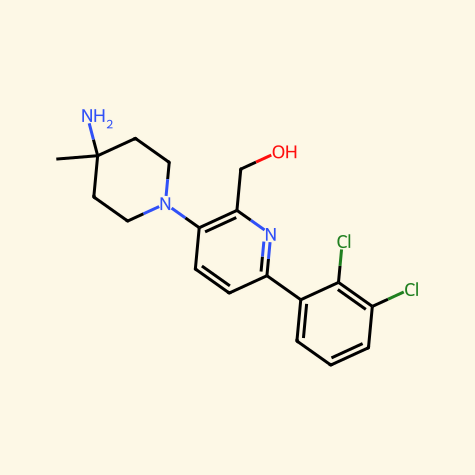 CC1(N)CCN(c2ccc(-c3cccc(Cl)c3Cl)nc2CO)CC1